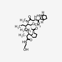 CC[C@H](C)[C@@H]([C@@H](CC(=O)N1CCC[C@H]1[C@H](OC)[C@@H](C)C(=O)NCCO)OC)N(C)C(=O)CNC(=O)[C@H]1N[C@@H]2CC[C@H]1C2